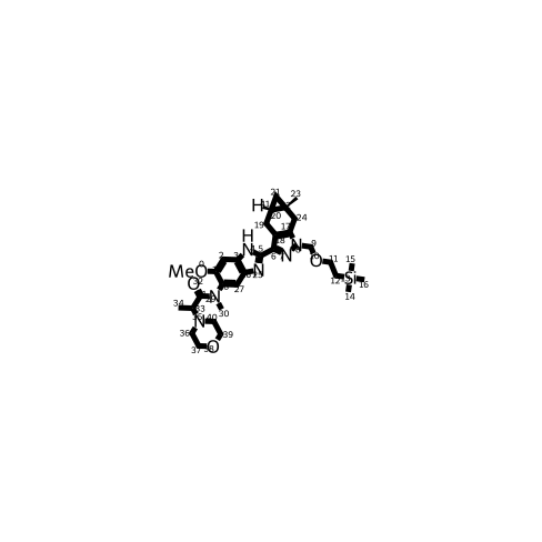 COc1cc2[nH]c(-c3nn(COCC[Si](C)(C)C)c4c3C[C@@H]3C[C@]3(C)C4)nc2cc1N(C)C(=O)C(C)N1CCOCC1